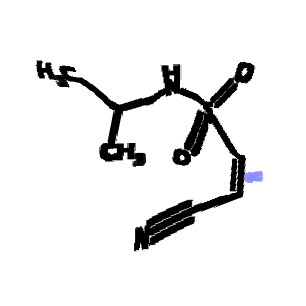 CC(C)NS(=O)(=O)/C=C\C#N